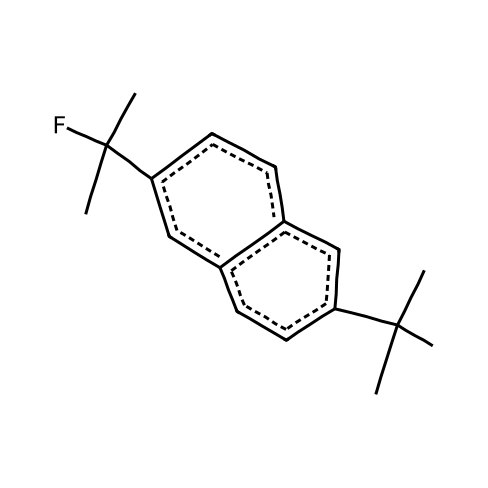 CC(C)(C)c1ccc2cc(C(C)(C)F)ccc2c1